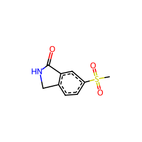 CS(=O)(=O)c1ccc2c(c1)C(=O)NC2